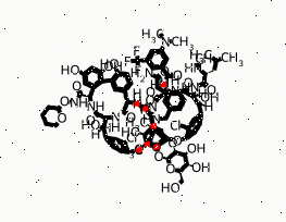 CN[C@H](CC(C)C)C(=O)N[C@H]1C(=O)N[C@@H](CC(N)=O)C(=O)N[C@H]2C(=O)N[C@H]3C(=O)N[C@H](C(=O)N[C@@H](C(=O)NOC4CCCCO4)c4cc(O)cc(O)c4-c4cc3ccc4O)[C@H](O)c3ccc(c(Cl)c3)Oc3cc2cc(c3O[C@@H]2O[C@H](CO)[C@@H](O)[C@H](O)[C@H]2O[C@H]2C[C@](C)(NCc3cccc(NC(=O)c4cc(N(C)C)cc(C(F)(F)F)c4)c3)[C@H](O)[C@H](C)O2)Oc2ccc(cc2Cl)[C@H]1O